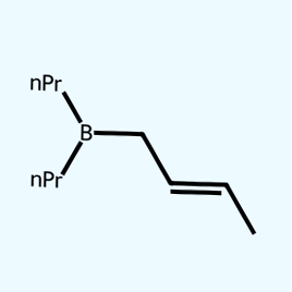 CC=CCB(CCC)CCC